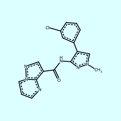 Cn1cc(-c2cccc(Cl)c2)c(NC(=O)c2cnn3cccnc23)n1